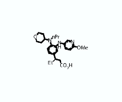 CCCN(c1ccc([C@H](CC)CC(=O)O)cc1Nc1ccc(OC)nc1)C1CCOCC1